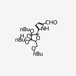 CCCCOCC1O[C@H](c2ccc(C=O)[nH]2)[C@](C)(OCCCC)[C@@H]1OCCCC